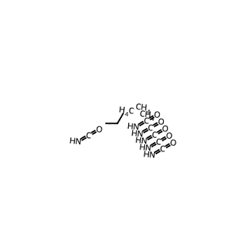 C.C.C.CCC.N=C=O.N=C=O.N=C=O.N=C=O.N=C=O.N=C=O